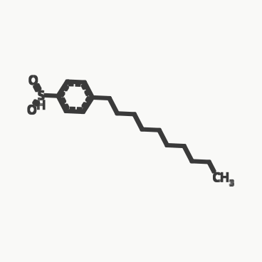 CCCCCCCCCCc1ccc([SH](=O)=O)cc1